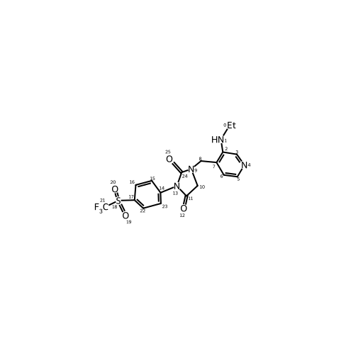 CCNc1cnccc1CN1CC(=O)N(c2ccc(S(=O)(=O)C(F)(F)F)cc2)C1=O